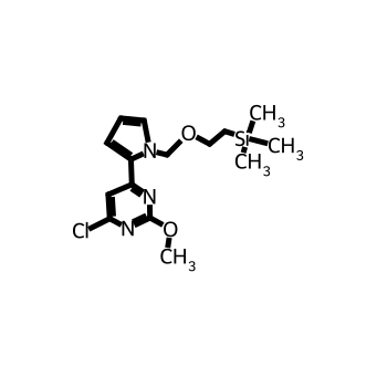 COc1nc(Cl)cc(-c2cccn2COCC[Si](C)(C)C)n1